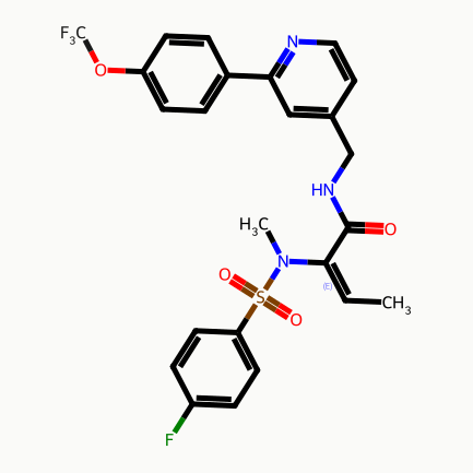 C/C=C(\C(=O)NCc1ccnc(-c2ccc(OC(F)(F)F)cc2)c1)N(C)S(=O)(=O)c1ccc(F)cc1